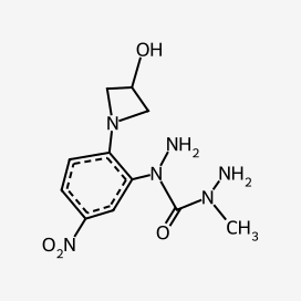 CN(N)C(=O)N(N)c1cc([N+](=O)[O-])ccc1N1CC(O)C1